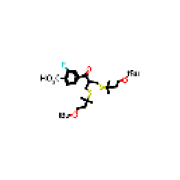 CC(C)(C)OCCC(C)(C)SCC(CSC(C)(C)CCOC(C)(C)C)C(=O)c1ccc(C(=O)O)c(F)c1